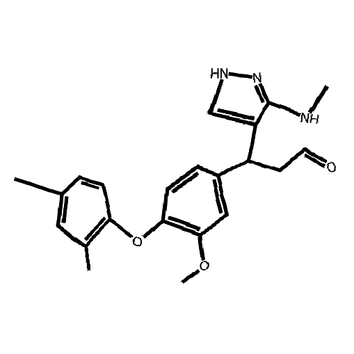 CNc1n[nH]cc1C(CC=O)c1ccc(Oc2ccc(C)cc2C)c(OC)c1